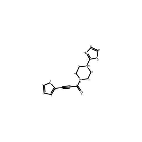 O=C(C#Cc1ccco1)N1CCN(c2nccs2)CC1